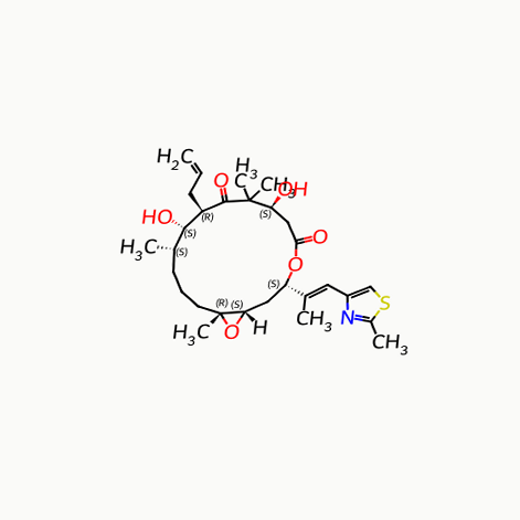 C=CC[C@H]1C(=O)C(C)(C)[C@@H](O)CC(=O)O[C@H](C(C)=Cc2csc(C)n2)C[C@@H]2O[C@]2(C)CCC[C@H](C)[C@@H]1O